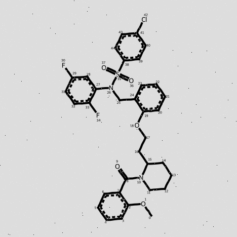 COc1ccccc1C(=O)N1CCCCC1CCOc1ccccc1CN(c1cc(F)ccc1F)S(=O)(=O)c1ccc(Cl)cc1